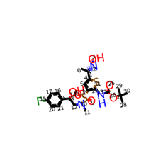 C/C(=N\O)c1cc(S(=O)(=O)N(C)CC(O)c2ccc(F)cc2)c(NC(=O)OC(C)(C)C)s1